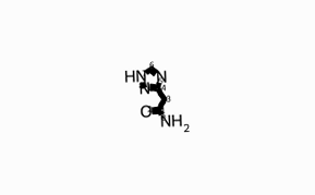 NC(=O)[CH]c1nc[nH]n1